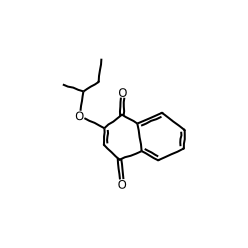 CCC(C)OC1=CC(=O)c2ccccc2C1=O